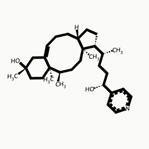 C[C@H](CC[C@@H](O)c1ccncc1)[C@H]1CC[C@H]2CC/C=C3/C[C@@](C)(O)CC[C@]3(C)[C@H](C)CC[C@@]21C